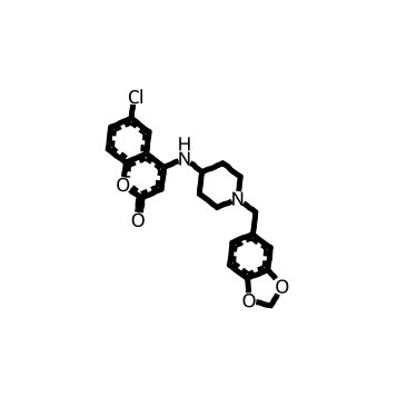 O=c1cc(NC2CCN(Cc3ccc4c(c3)OCO4)CC2)c2cc(Cl)ccc2o1